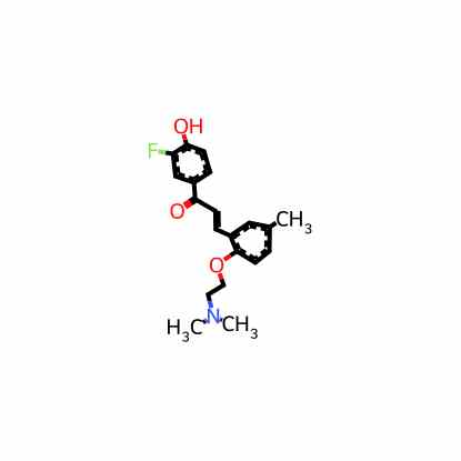 Cc1ccc(OCCN(C)C)c(C=CC(=O)c2ccc(O)c(F)c2)c1